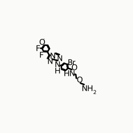 COc1ccc(-c2cnc3c(Nc4ccc(C(=O)NCCOCCN)c(Br)c4)nccn23)c(F)c1F